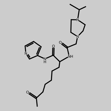 CC(=O)CCCCCC(NC(=O)CN1CCN(C(C)C)CC1)C(=O)Nc1cccnc1